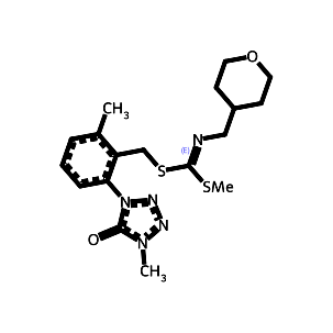 CS/C(=N\CC1CCOCC1)SCc1c(C)cccc1-n1nnn(C)c1=O